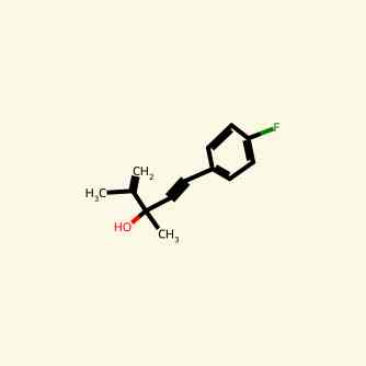 C=C(C)C(C)(O)C#Cc1ccc(F)cc1